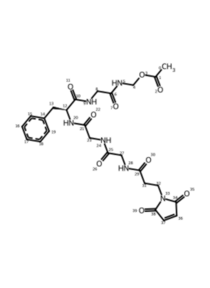 CC(=O)OCNC(=O)CNC(=O)[C@H](Cc1ccccc1)NC(=O)CNC(=O)CNC(=O)CCN1C(=O)C=CC1=O